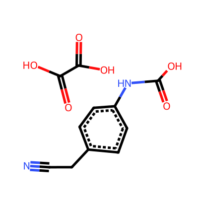 N#CCc1ccc(NC(=O)O)cc1.O=C(O)C(=O)O